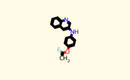 C=C(F)Oc1ccc(Nc2cnc3ccccc3c2)cc1